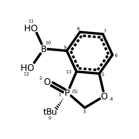 CC(C)(C)[P@@]1(=O)COc2cccc(B(O)O)c21